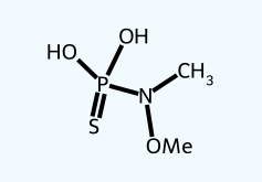 CON(C)P(O)(O)=S